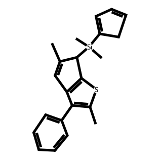 CC1=Cc2c(sc(C)c2-c2ccccc2)C1[Si](C)(C)C1=CC=CC1